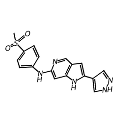 CS(=O)(=O)c1ccc(Nc2cc3[nH]c(-c4cn[nH]c4)cc3cn2)cc1